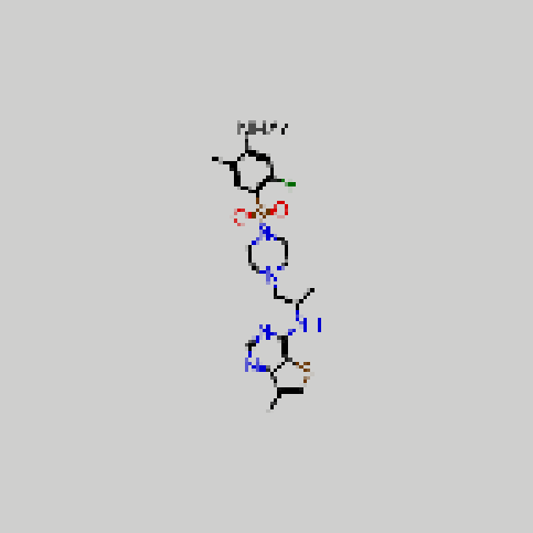 CC(=O)Nc1cc(F)c(S(=O)(=O)N2CCN(CC(C)Nc3ncnc4c(C)csc34)CC2)cc1C